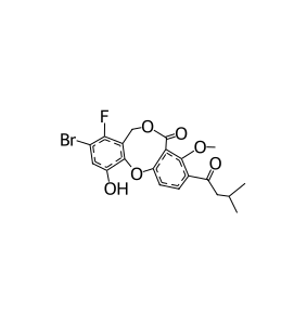 COc1c(C(=O)CC(C)C)ccc2c1C(=O)OCc1c(F)c(Br)cc(O)c1O2